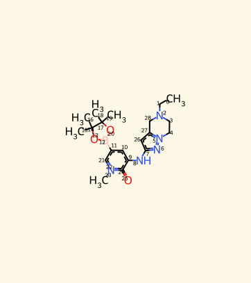 CCN1CCn2nc(Nc3cc(B4OC(C)(C)C(C)(C)O4)cn(C)c3=O)cc2C1